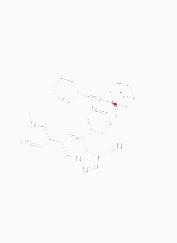 CN/C=C(\C=N)c1cc(-c2ccc(N3CC4CC(C3)N4C(=O)C#Cc3ccccc3)nc2)c2c(C#N)cnn2c1